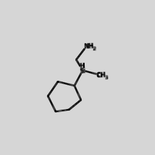 C[SiH](CN)C1CCCCC1